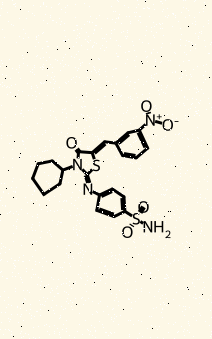 NS(=O)(=O)c1ccc(/N=C2\SC(=Cc3cccc([N+](=O)[O-])c3)C(=O)N2C2CCCCC2)cc1